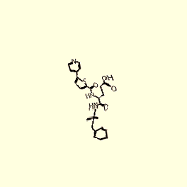 CC(C)(Cc1ccccc1)NC(=O)[C@H](CCC(=O)O)NC(=O)c1ccc(-c2ccncc2)s1